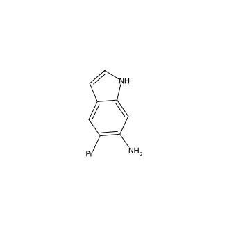 CC(C)c1cc2cc[nH]c2cc1N